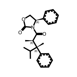 CC(C)[C@@](C)(c1ccccc1)[C@@H](C)C(=O)N1C(=O)OC[C@H]1c1ccccc1